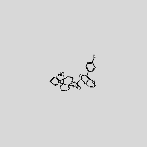 O=C(c1nc(-c2ccc(F)cc2)c2ncccn12)N1CC[C@](O)(c2ccccc2)[C@H]2CCCC[C@H]21